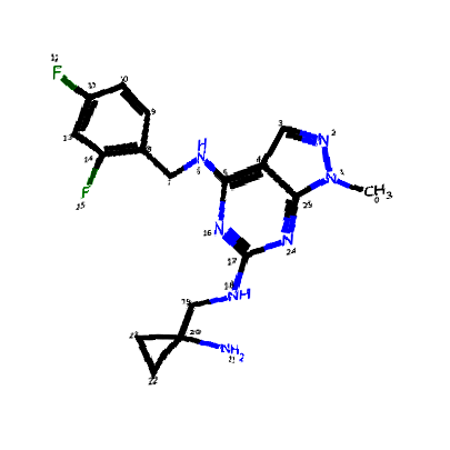 Cn1ncc2c(NCc3ccc(F)cc3F)nc(NCC3(N)CC3)nc21